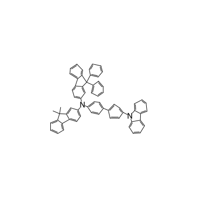 CC1(C)c2ccccc2-c2ccc(N(c3ccc(-c4ccc(-n5c6ccccc6c6ccccc65)cc4)cc3)c3ccc4c(c3)C(c3ccccc3)(c3ccccc3)c3ccccc3-4)cc21